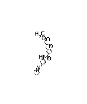 CCOC(=O)CC1COc2ccc(C(=O)Nc3ccc(C=NN4CCCCC4)cc3)cc2C1